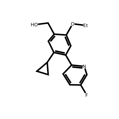 CCOc1cc(-c2ccc(F)cn2)c(C2CC2)cc1CO